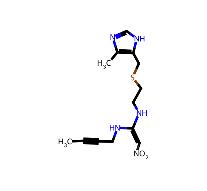 CC#CCNC(=C[N+](=O)[O-])NCCSCc1[nH]cnc1C